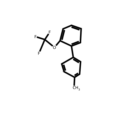 Cc1[c]cc(-c2ccccc2OC(F)(F)F)cc1